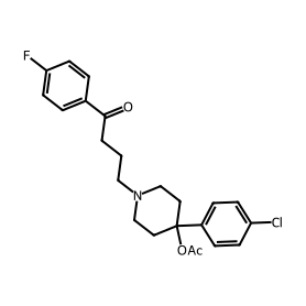 CC(=O)OC1(c2ccc(Cl)cc2)CCN(CCCC(=O)c2ccc(F)cc2)CC1